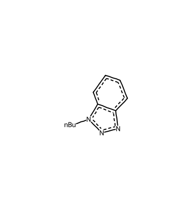 [CH2]CCCn1nnc2ccccc21